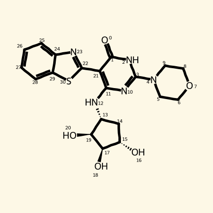 O=c1[nH]c(N2CCOCC2)nc(N[C@@H]2C[C@H](O)[C@@H](O)[C@H]2O)c1-c1nc2ccccc2s1